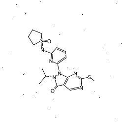 CSc1ncc2c(=O)n(C(C)C)n(-c3cccc(N=S4(=O)CCCC4)n3)c2n1